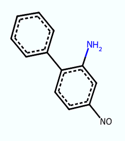 Nc1cc(N=O)ccc1-c1ccccc1